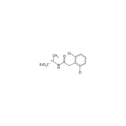 CCOC(=O)[C@H](C)NC(=O)Cc1c(Cl)cccc1Cl